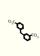 ClC(Cl)(Cl)c1cccc([CH]c2cccc(C(Cl)(Cl)Cl)c2)c1